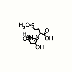 CC1CC(O)CN1.CSCCC(N)C(=O)O